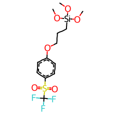 CO[Si](CCCOc1ccc(S(=O)(=O)C(F)(F)F)cc1)(OC)OC